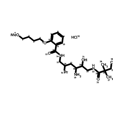 COCCCCOc1ccccc1C(=O)NCC(CC(N)C(O)CNC(=O)C(C)(C)CCl)C(C)C.Cl